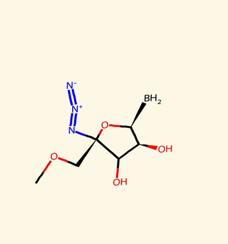 B[C@@H]1O[C@@](COC)(N=[N+]=[N-])C(O)[C@@H]1O